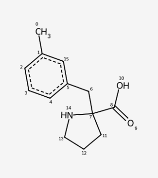 Cc1cccc(CC2(C(=O)O)CCCN2)c1